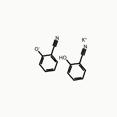 N#Cc1ccccc1O.N#Cc1ccccc1[O-].[K+]